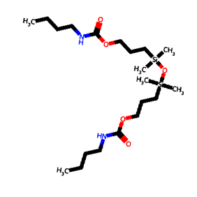 CCCCNC(=O)OCCC[Si](C)(C)O[Si](C)(C)CCCOC(=O)NCCCC